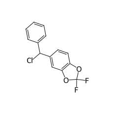 FC1(F)Oc2ccc(C(Cl)c3ccccc3)cc2O1